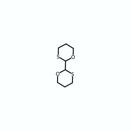 C1COC(C2OCCCS2)SC1